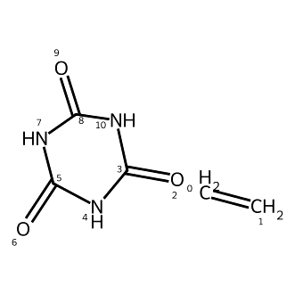 C=C.O=c1[nH]c(=O)[nH]c(=O)[nH]1